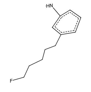 [NH]c1cccc(CCCCCF)c1